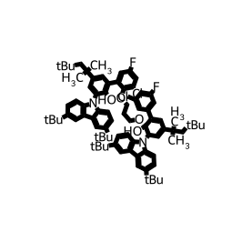 CC(C)(C)CC(C)(C)C1=CC(n2c3ccc(C(C)(C)C)cc3c3cc(C(C)(C)C)ccc32)C(O)(OCCCOc2c(Cl)cc(F)cc2-c2cc(C(C)(C)CC(C)(C)C)cc(-n3c4ccc(C(C)(C)C)cc4c4cc(C(C)(C)C)ccc43)c2O)C(c2cc(F)cc(Cl)c2)=C1